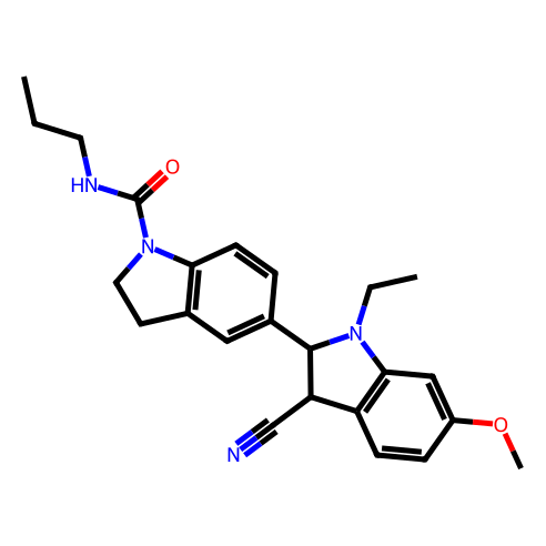 CCCNC(=O)N1CCc2cc(C3C(C#N)c4ccc(OC)cc4N3CC)ccc21